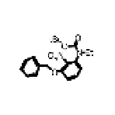 CCN(C(=O)OC(C)(C)C)c1cccc(OCc2ccccc2)c1[N+](=O)[O-]